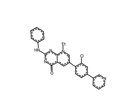 CCn1cc(-c2ccc(-c3cccnc3)cc2Cl)cc2c(=O)nc(Nc3ccccc3)nc1-2